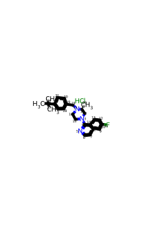 C[C@@H]1CN(c2nccc3cc(F)ccc23)CCN1Cc1ccc(C(C)(C)C)cc1.Cl